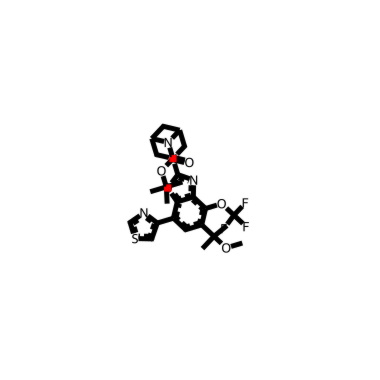 COC(C)(C)c1cc(-c2cscn2)c2oc(N3CC4CC(C3)N4C(=O)OC(C)(C)C)nc2c1OC(F)(F)F